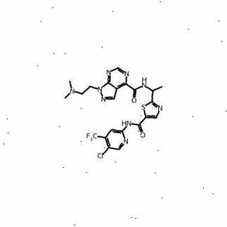 CC(NC(=O)c1ncnc2c1cnn2CCN(C)C)c1ncc(C(=O)Nc2cc(C(F)(F)F)c(Cl)cn2)s1